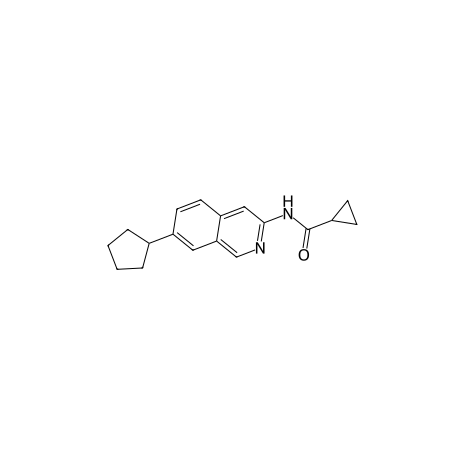 O=C(Nc1cc2ccc(C3CCCC3)cc2cn1)C1CC1